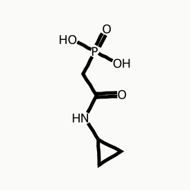 O=C(CP(=O)(O)O)NC1CC1